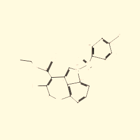 CCOC(=O)C1=C(O)COc2cccc3c2c1cn3S(=O)(=O)c1ccc(C)cc1